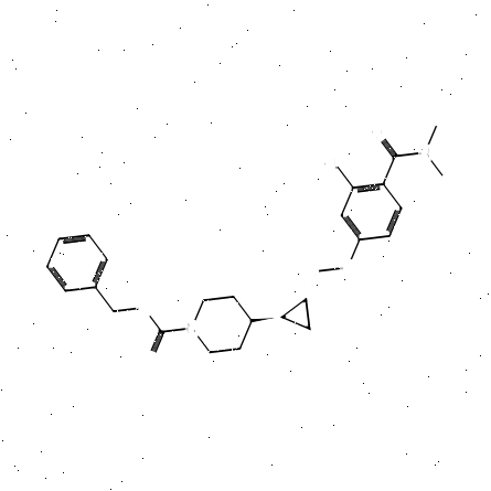 CN(C)C(=O)c1ccc(OC[C@@H]2C[C@H]2C2CCN(C(=O)OCc3ccccc3)CC2)cc1Cl